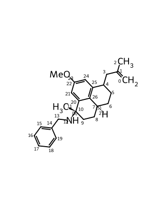 C=C(C)CC1CC[C@H]2CC[C@](C)(NCc3ccccc3)c3cc(OC)cc1c32